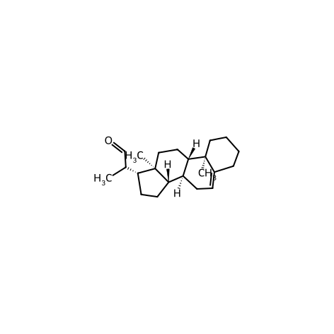 CC(C=O)[C@H]1CC[C@H]2[C@@H]3CC=C4CCCC[C@]4(C)[C@H]3CC[C@]12C